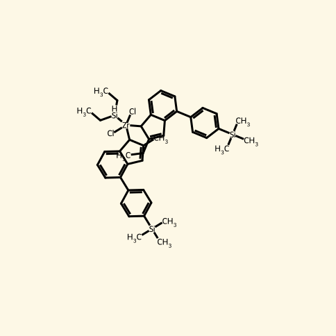 CCC1=Cc2c(-c3ccc([Si](C)(C)C)cc3)cccc2[CH]1[Zr]([Cl])([Cl])([CH]1C(C)=Cc2c(-c3ccc([Si](C)(C)C)cc3)cccc21)[SiH](CC)CC